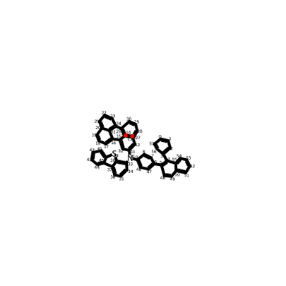 c1ccc(-c2c(-c3ccc(N(c4cccc(-c5cccc6cccc(-c7ccccc7)c56)c4)c4cccc5c4sc4ccccc45)cc3)ccc3ccccc23)cc1